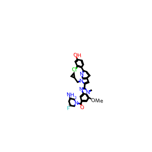 COc1cc(C(=O)N2C[C@H](N)C[C@@H](F)C2)cc2nc(-c3cc4ccc(-c5ccc(O)cc5Cl)nc4n3CC3CC3)n(C)c12